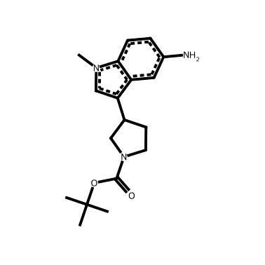 Cn1cc(C2CCN(C(=O)OC(C)(C)C)C2)c2cc(N)ccc21